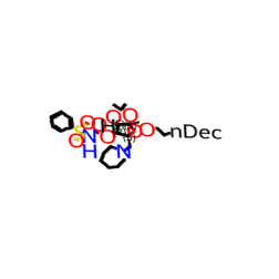 CCCCCCCCCCCCOC[C@@]12O[C@@H](CN3CCCCCC3)[C@@H](OC(=O)NS(=O)(=O)c3ccccc3)[C@@H]1OC(C)(C)O2